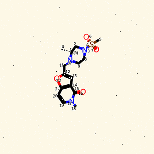 C[C@@H]1CN(S(C)(=O)=O)CCN1Cc1cc2c(=O)n(C)ccc2o1